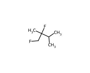 CC(C)C(C)(F)CF